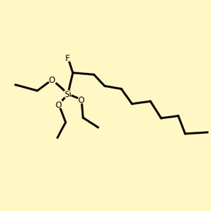 CCCCCCCCCC(F)[Si](OCC)(OCC)OCC